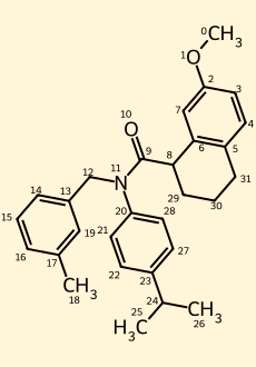 COc1ccc2c(c1)C(C(=O)N(Cc1cccc(C)c1)c1ccc(C(C)C)cc1)CCC2